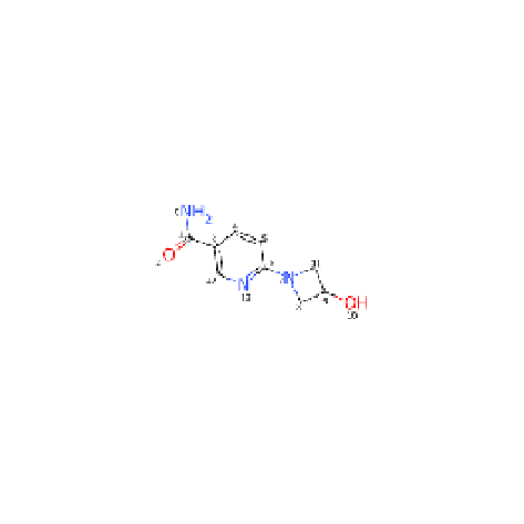 NC(=O)c1ccc(N2CC(O)C2)nc1